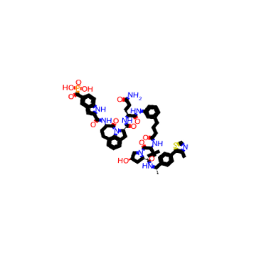 Cc1ncsc1-c1ccc([C@H](C)NC(=O)[C@@H]2C[C@@H](O)CN2C(=O)[C@@H](NC(=O)CCCc2cccc(NC(=O)[C@H](CCC(N)=O)NC(=O)[C@@H]3Cc4cccc5c4N3C(=O)[C@@H](NC(=O)c3cc4cc(C(=O)P(=O)(O)O)ccc4[nH]3)CC5)c2)C(C)(C)C)cc1